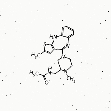 CC(=O)NCC1CN(C2=Nc3ccccc3Nc3sc(C)cc32)CCN1C